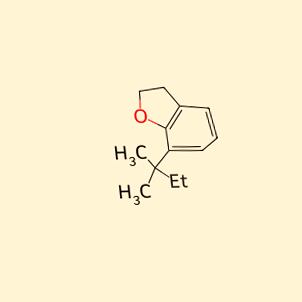 CCC(C)(C)c1cccc2c1OCC2